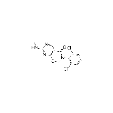 CNc1ncc2c(n1)OCN(c1c(Cl)cccc1Cl)C2=O